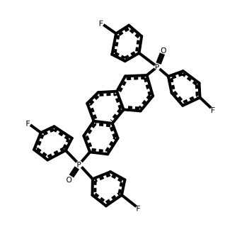 O=P(c1ccc(F)cc1)(c1ccc(F)cc1)c1ccc2c(ccc3cc(P(=O)(c4ccc(F)cc4)c4ccc(F)cc4)ccc32)c1